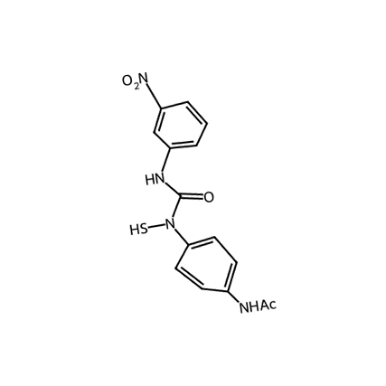 CC(=O)Nc1ccc(N(S)C(=O)Nc2cccc([N+](=O)[O-])c2)cc1